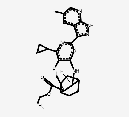 CCOC(=O)[C@H]1C2CCC(CC2)[C@@H]1Nc1nc(-c2n[nH]c3ncc(F)cc23)nc(C2CC2)c1F